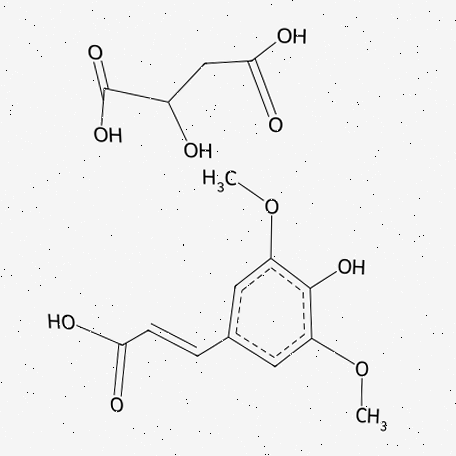 COc1cc(/C=C/C(=O)O)cc(OC)c1O.O=C(O)CC(O)C(=O)O